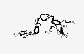 CCOc1cc(CN2CCC(Nc3nc4cc(NS(=O)(=O)c5cn(C)cn5)ccc4o3)CC2)cc(OCC)c1NC(C)=O